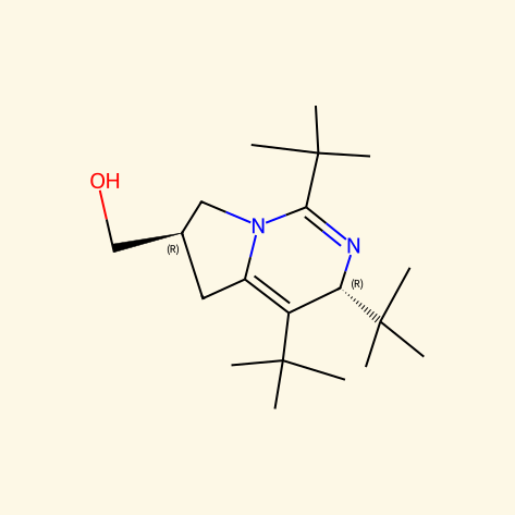 CC(C)(C)C1=N[C@H](C(C)(C)C)C(C(C)(C)C)=C2C[C@@H](CO)CN12